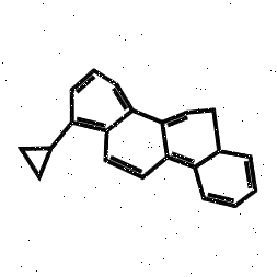 C1=CC2=c3ccc4c(C5CC5)cccc4c3=CCC2C=C1